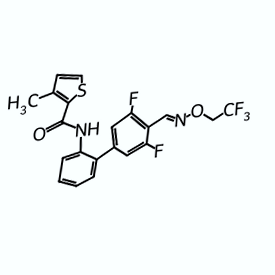 Cc1ccsc1C(=O)Nc1ccccc1-c1cc(F)c(C=NOCC(F)(F)F)c(F)c1